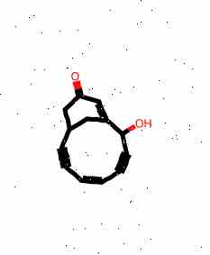 O=C1C=C2CC(C#CC=CC#CC2O)C1